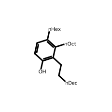 CCCCCCCCCCCCc1c(O)ccc(CCCCCC)c1CCCCCCCC